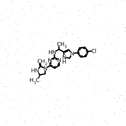 C=C1NC(C)CN1c1ccnc(NC(C)C2=CN(c3ccc(Cl)cc3)CN2)n1